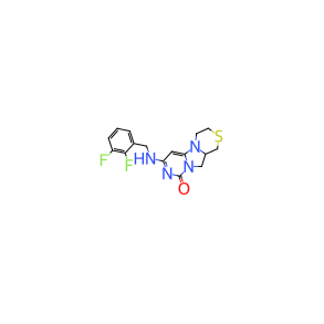 O=c1nc(NCc2cccc(F)c2F)cc2n1CC1CSCCN21